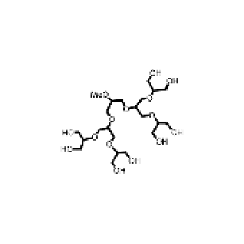 COC(COC(COC(CO)CO)COC(CO)CO)COC(COC(CO)CO)COC(CO)CO